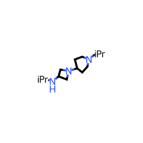 CC(C)NC1CN(C2CCN(C(C)C)CC2)C1